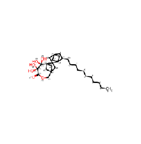 CCCCCCCCCCCC1CC23CC1(C2)C1(C3)CC23COC(=O)C(O)(O)C(O)(O)C1(C2)C3